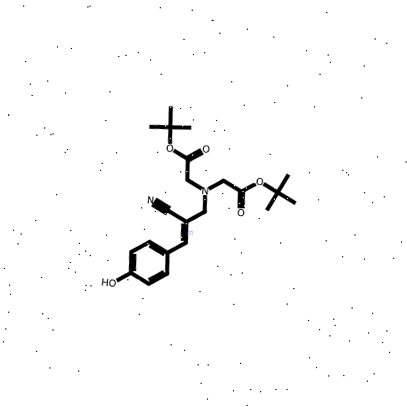 CC(C)(C)OC(=O)CN(CC(=O)OC(C)(C)C)C/C(C#N)=C/c1ccc(O)cc1